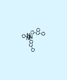 C1=CC(c2ccc(-c3ccccc3)c3ccccc23)=CC(c2nc(-c3ccccc3)nc(-c3ccc4cc(-c5ccccc5)ccc4c3)n2)C1